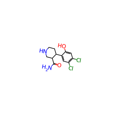 NC(=O)C1CNCCC1c1cc(Cl)c(Cl)cc1O